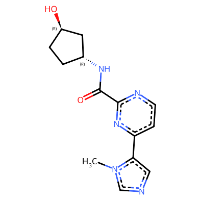 Cn1cncc1-c1ccnc(C(=O)N[C@@H]2CC[C@@H](O)C2)n1